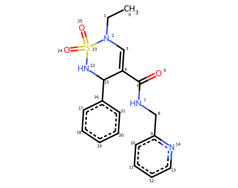 CCN1C=C(C(=O)NCc2ccccn2)C(c2ccccc2)NS1(=O)=O